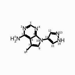 Nc1ncnc2c1c(I)cn2-c1cn[nH]c1